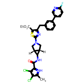 CCOC(=O)c1sc(N2C[C@@H]3C(NC(=O)c4[nH]c(C)c(Cl)c4Cl)[C@@H]3C2)nc1Cc1cccc(-c2ccc(F)nc2)c1